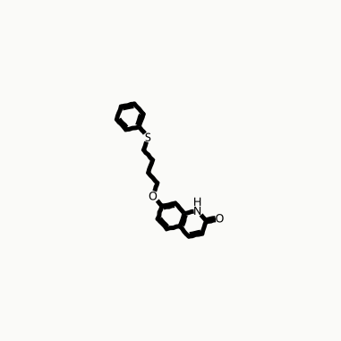 O=c1ccc2ccc(OCCCCSc3ccccc3)cc2[nH]1